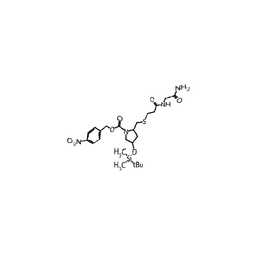 CC(C)(C)[Si](C)(C)OC1CC(CSCCC(=O)NCC(N)=O)N(C(=O)OCc2ccc([N+](=O)[O-])cc2)C1